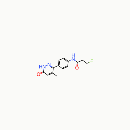 Cc1cc(=O)[nH]nc1-c1ccc(NC(=O)CCF)cc1